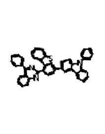 c1ccc(-c2nc(-c3ccc(-c4ccc5c(c4)c4ccccc4n5-c4ccccc4)c4sc5ccccc5c34)nc3ccccc23)cc1